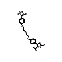 Cc1nc(-c2ccc(OCCOCCOc3ccc(C(=N)NO)cc3)cc2)c(C(C)C)s1